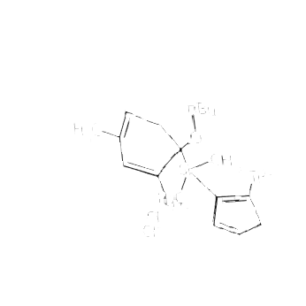 CCCCOC1([Si](C)(C)C2=[C]([Ti+2])CC=C2)CC=C(C)C=C1C.[Cl-].[Cl-]